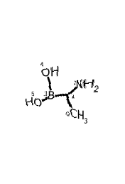 CC(N)B(O)O